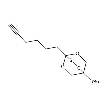 C#CCCCCC12OCC(C(C)(C)C)(CO1)CS2